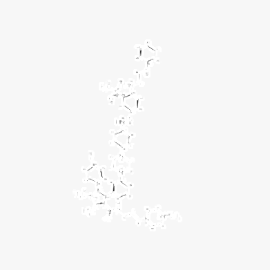 Cc1c(C(=O)NCCCN2CCN(C)CC2)c(-c2cccc(N3CCN(c4ccc(NSc5ccc(NCCSc6ccccc6)c(S(=O)(=O)C(F)(F)F)c5)cc4)CC3)c2)c(-c2ccc(F)cc2)n1C